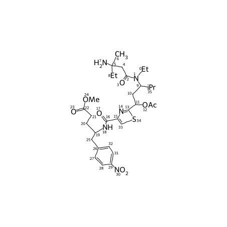 CCN(C(=O)CC(C)(N)CC)C(CC(OC(C)=O)c1nc(C(=O)NC(CCC(=O)OC)Cc2ccc([N+](=O)[O-])cc2)cs1)C(C)C